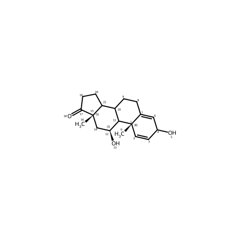 C[C@]12C=CC(O)C=C1CCC1C2[C@@H](O)C[C@]2(C)C(=O)CCC12